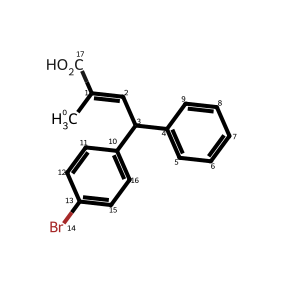 CC(=CC(c1ccccc1)c1ccc(Br)cc1)C(=O)O